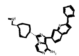 CNC[C@H]1CC[C@H](c2nc(-c3ccc4ccc(-c5ccccc5)nc4c3)c3c(N)nccn32)CC1